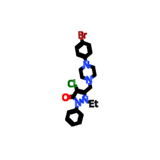 CCn1c(CN2CCN(c3ccc(Br)cc3)CC2)c(Cl)c(=O)n1-c1ccccc1